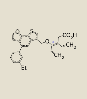 C=C/C(CC(=O)O)=C(\C=C)OCc1csc2c1cc(-c1cccc(CC)c1)c1ccoc12